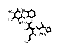 CCC1CCC[C@@H](O[C@H](O)/C(Cl)=C(\O[C@@H](CC(C)C)C(=O)N2CCC2)[C@@H](O)CCO)C1O[C@@H]1OC(C(F)(F)F)[C@@H](O)C(O)C1O